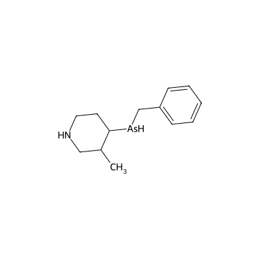 CC1CNCCC1[AsH]Cc1ccccc1